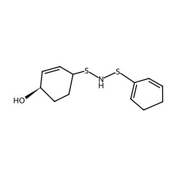 O[C@H]1C=CC(SNSC2=CCCC=C2)CC1